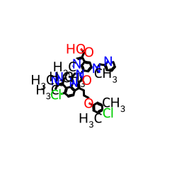 Cc1cc(OCCCc2c3n(c4c(-c5c(C)nn(C)c5C)c(Cl)ccc24)C(C)CN(c2cc(N(C)Cc4ccccn4)cc4c(C(=O)O)cn(C)c24)C3=O)cc(C)c1Cl